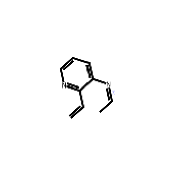 C=Cc1ncccc1/N=C\C